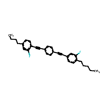 CCCCCc1ccc(C#Cc2ccc(C#Cc3ccc(CCCC)cc3F)cc2)cc1F